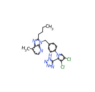 CCCCc1nc2c(C)ccnc2n1Cc1ccc(-n2cc(Cl)c(Cl)c2-c2nnn[nH]2)cc1